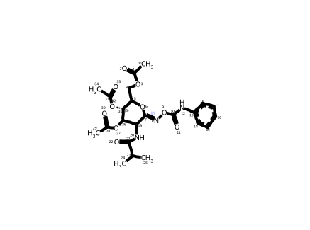 CC(=O)OCC1O/C(=N\OC(=O)Nc2ccccc2)C(NC(=O)C(C)C)C(OC(C)=O)[C@@H]1OC(C)=O